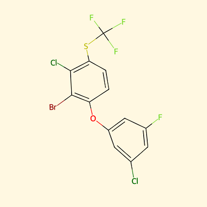 Fc1cc(Cl)cc(Oc2ccc(SC(F)(F)F)c(Cl)c2Br)c1